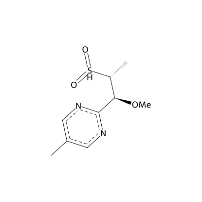 CO[C@@H](c1ncc(C)cn1)[C@@H](C)[SH](=O)=O